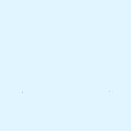 Nc1ccc2c(c1)O[C@@H](c1cc(F)c(F)c(F)c1)n1c-2cc2cc(N)ccc21